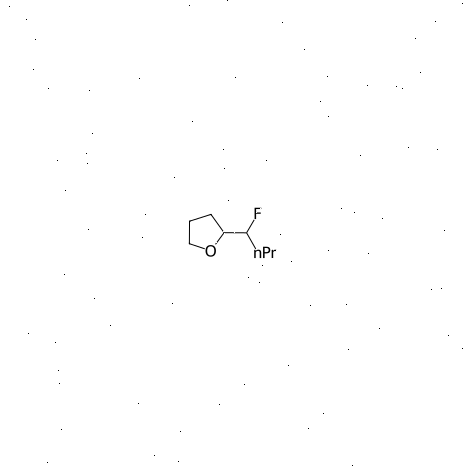 CCCC(F)C1CCCO1